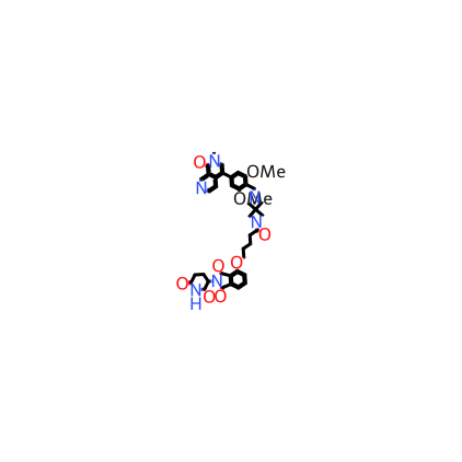 COc1cc(-c2cn(C)c(=O)c3cnccc23)cc(OC)c1CN1CC2(C1)CN(C(=O)CCCCOc1cccc3c1C(=O)N(C1CCC(=O)NC1=O)C3=O)C2